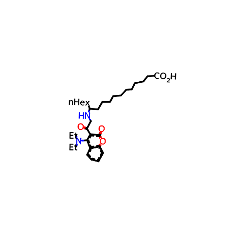 CCCCCCC(CCCCCCCCCCC(=O)O)NCC(=O)c1c(N(CC)CC)c2ccccc2oc1=O